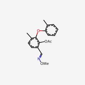 CON=Cc1ccc(C)c(Oc2ccccc2C)c1OC(C)=O